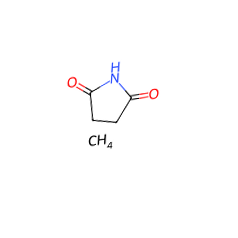 C.O=C1CCC(=O)N1